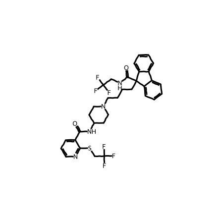 O=C(NC1CCN(CCCCC2(C(=O)NCC(F)(F)F)c3ccccc3-c3ccccc32)CC1)c1cccnc1SCC(F)(F)F